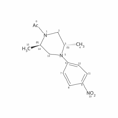 CC(=O)N1C[C@H](C)N(c2ccc([N+](=O)[O-])cc2)C[C@H]1C